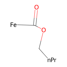 CCCCO[C](=O)[Fe]